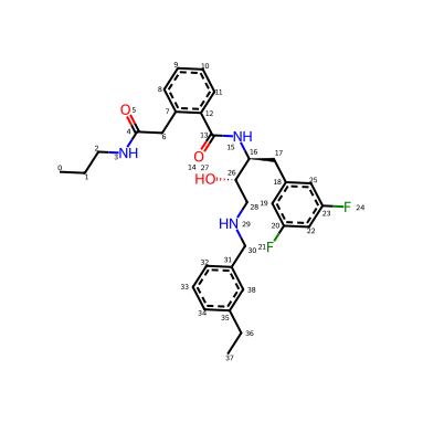 CCCNC(=O)Cc1ccccc1C(=O)N[C@@H](Cc1cc(F)cc(F)c1)[C@@H](O)CNCc1cccc(CC)c1